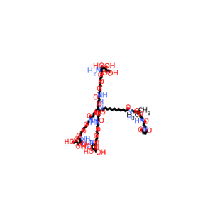 CC(C)(OCCNC(=O)CCCCCCCCCCC(=O)NC(COCCC(=O)NCCOCCOCCOC1OC(CO)C(O)C(O)C1N)(COCCC(=O)NCCOCCOCCOC1OC(CO)C(O)C(O)C1N)COCCC(=O)NCCOCCOCCOC1OC(CO)C(O)C(O)C1N)OCCNC(=O)CCN1C(=O)C=CC1=O